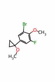 COc1c(F)cc(C2(OC)CC2)cc1Br